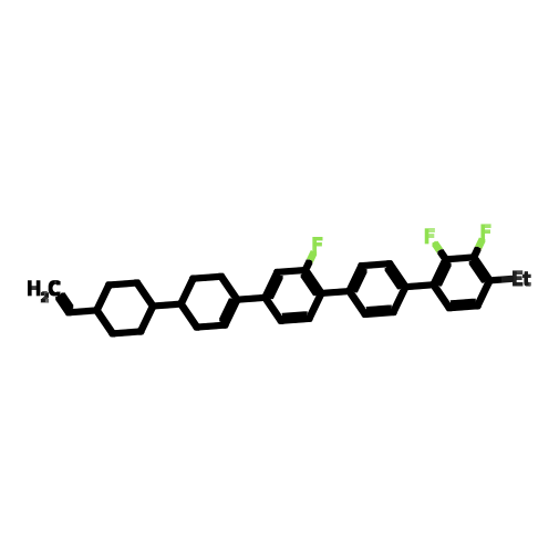 C=CC1CCC(C2CC=C(c3ccc(-c4ccc(-c5ccc(CC)c(F)c5F)cc4)c(F)c3)CC2)CC1